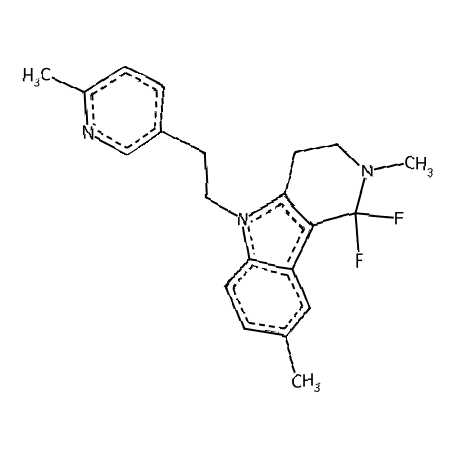 Cc1ccc2c(c1)c1c(n2CCc2ccc(C)nc2)CCN(C)C1(F)F